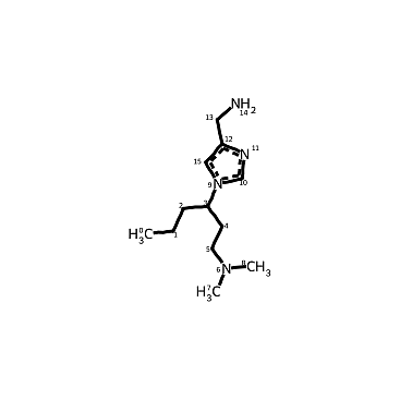 CCCC(CCN(C)C)n1cnc(CN)c1